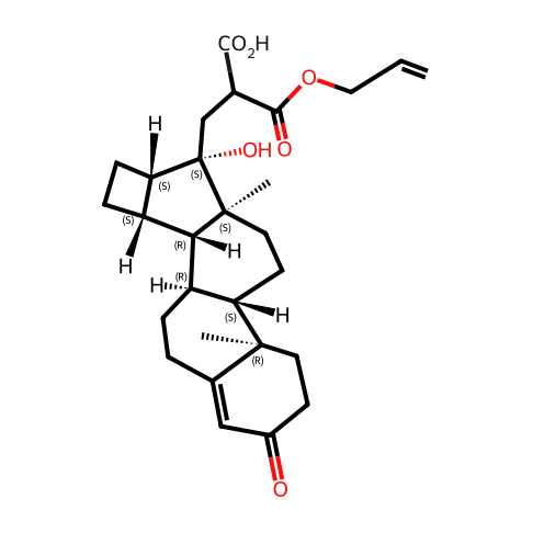 C=CCOC(=O)C(C[C@]1(O)[C@H]2CC[C@H]2[C@H]2[C@@H]3CCC4=CC(=O)CC[C@]4(C)[C@H]3CC[C@@]21C)C(=O)O